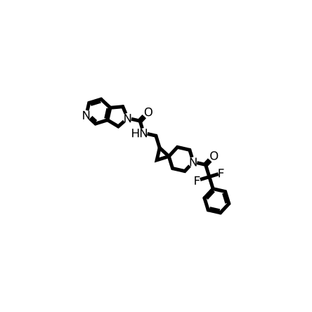 O=C(NCC1CC12CCN(C(=O)C(F)(F)c1ccccc1)CC2)N1Cc2ccncc2C1